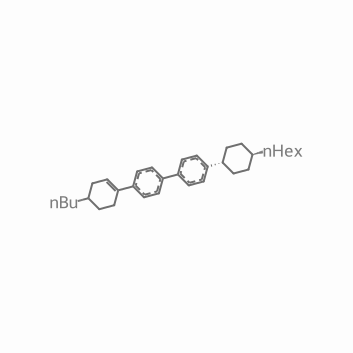 CCCCCC[C@H]1CC[C@H](c2ccc(-c3ccc(C4=CCC(CCCC)CC4)cc3)cc2)CC1